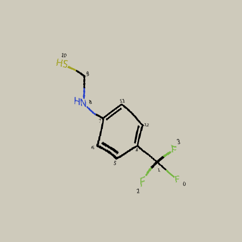 FC(F)(F)c1ccc(NCS)cc1